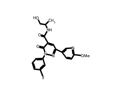 COc1ccc(-c2cc(C(=O)NC(C)CO)c(=O)n(-c3cccc(F)c3)n2)cn1